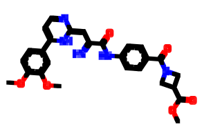 COC(=O)C1CN(C(=O)c2ccc(NC(=O)C(=N)/C=C3/N=CC=C(c4ccc(OC)c(OC)c4)N3)cc2)C1